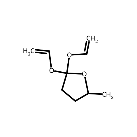 C=COC1(OC=C)CCC(C)O1